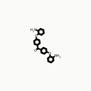 Nc1ccccc1Oc1ccc(C(=O)c2ccc(Oc3ccccc3N)cc2)cc1